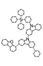 c1ccc(-c2ccc3c(c2)c2cc(-c4cccc5c4oc4ccccc45)ccc2n3-c2ccc3c(c2)c2ccccc2n3-c2cccc([Si](c3ccccc3)(c3ccccc3)c3ccccc3)c2)cc1